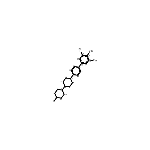 CC1CCC(C2CCC(c3ccc(-c4cc(F)c(F)c(F)c4)cc3)CC2)CC1